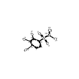 O=S(=O)(c1ccc(Cl)c(Cl)c1Cl)N(Cl)Cl